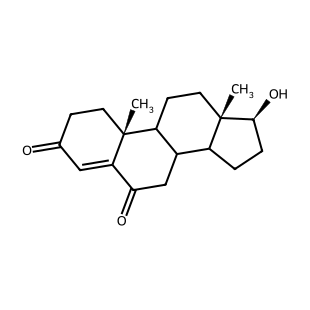 C[C@]12CCC(=O)C=C1C(=O)CC1C2CC[C@@]2(C)C1CC[C@@H]2O